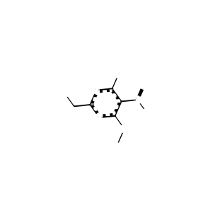 COc1nc(CF)nc(Cl)c1[N+](=O)[O-]